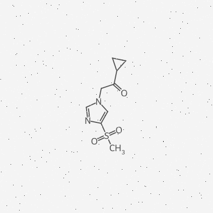 CS(=O)(=O)c1cn(CC(=O)C2CC2)cn1